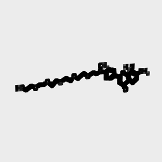 CN(CCOCCOCCOCCOCCOCCO)c1ccc(-c2cc(=O)c3ccc(N)c(N)c3o2)cc1